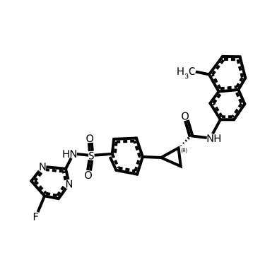 Cc1cccc2ccc(NC(=O)[C@@H]3CC3c3ccc(S(=O)(=O)Nc4ncc(F)cn4)cc3)cc12